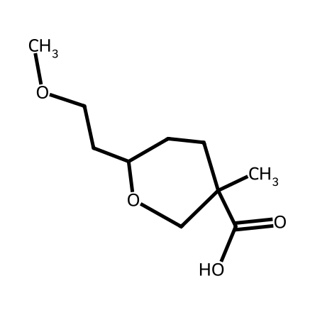 COCCC1CCC(C)(C(=O)O)CO1